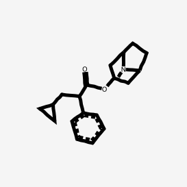 CN1C2CCC1CC(OC(=O)C(CC1CC1)c1ccccc1)C2